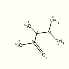 CC(N)C(O)C(=O)O